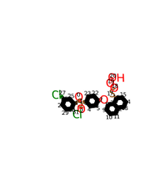 O=S(=O)(c1ccc(Oc2cccc3cccc(SOOO)c23)cc1)c1cc(Cl)ccc1Cl